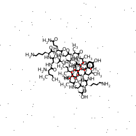 CC[C@H](C)[C@H](N)C(=O)N[C@@H](CC(=O)O)C(=O)N[C@@H](CCCCN)C(=O)N[C@@H](CCC(N)=O)C(=O)N[C@@H](CC(C)C)C(=O)N[C@@H](C)C(=O)N[C@@H](C)C(=O)N[C@@H](Cc1ccc(O)cc1)C(=O)N[C@H](C(=O)N[C@@H](C)C(=O)N[C@@H](CC(=O)O)C(=O)N[C@@H](CCCCN)C(=O)N[C@H](C(=O)N[C@@H](CC(=O)O)C(=O)N[C@@H](C)C(=O)O)C(C)C)[C@@H](C)CC